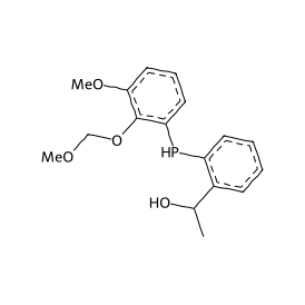 COCOc1c(OC)cccc1Pc1ccccc1C(C)O